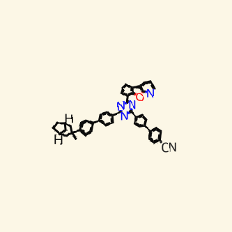 CC1(c2ccc(-c3ccc(-c4nc(-c5ccc(-c6ccc(C#N)cc6)cc5)nc(-c5cccc6c5oc5ncccc56)n4)cc3)cc2)C[C@@H]2CC[C@@H](C2)C1